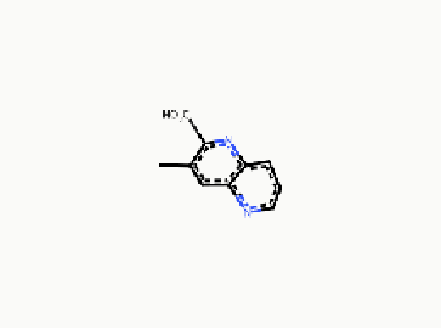 Cc1cc2ncccc2nc1C(=O)O